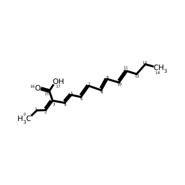 CCC=C(C=CC=CC=CC=CCCC)C(=O)O